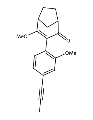 CC#Cc1ccc(C2=C(OC)C3CCC(C3)C2=O)c(OC)c1